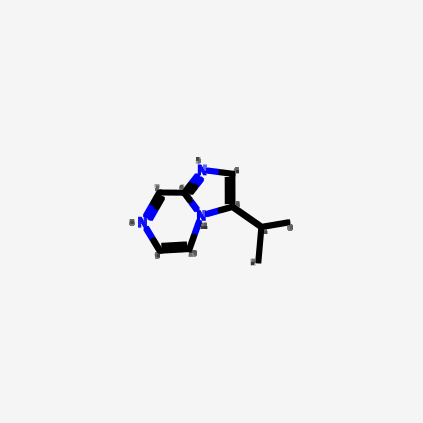 CC(C)c1cnc2cnccn12